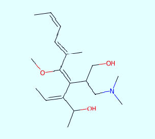 C\C=C/C=C(C)/C(OC)=C(/C(=C\C)C(C)O)C(CO)CN(C)C